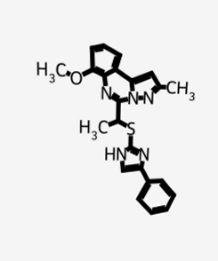 COc1cccc2c1nc(C(C)Sc1nc(-c3ccccc3)c[nH]1)n1nc(C)cc21